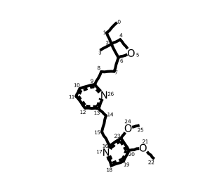 CCC1(C)COC1CCc1cccc(CCc2nccc(OC)c2OC)n1